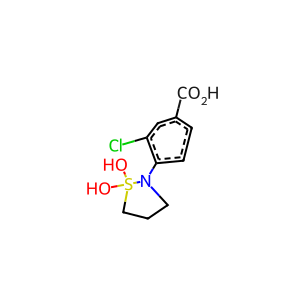 O=C(O)c1ccc(N2CCCS2(O)O)c(Cl)c1